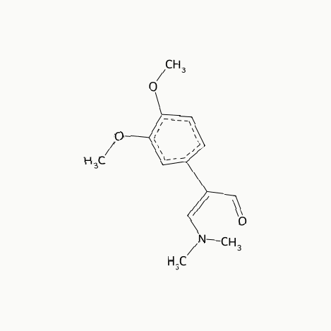 COc1ccc(C(C=O)=CN(C)C)cc1OC